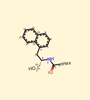 CCCCCCC(=O)N[C@@H](Cc1cccc2ccccc12)C(=O)O